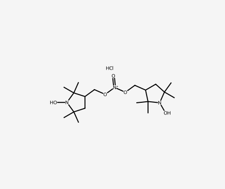 CC1(C)CC(CO[N+](=O)OCC2CC(C)(C)N(O)C2(C)C)C(C)(C)N1O.Cl